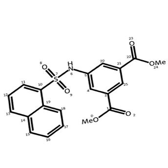 COC(=O)c1cc(NS(=O)(=O)c2cccc3ccccc23)cc(C(=O)OC)c1